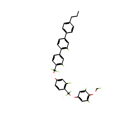 CCCc1ccc(-c2ccc(-c3ccc(C(F)(F)Oc4ccc(C(F)(F)Oc5cc(F)c(OCF)c(F)c5)c(F)c4)c(F)c3)c(F)c2)cc1